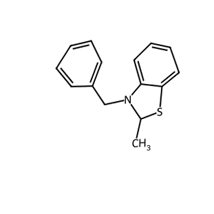 CC1Sc2ccccc2N1Cc1ccccc1